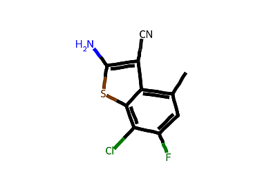 Cc1cc(F)c(Cl)c2sc(N)c(C#N)c12